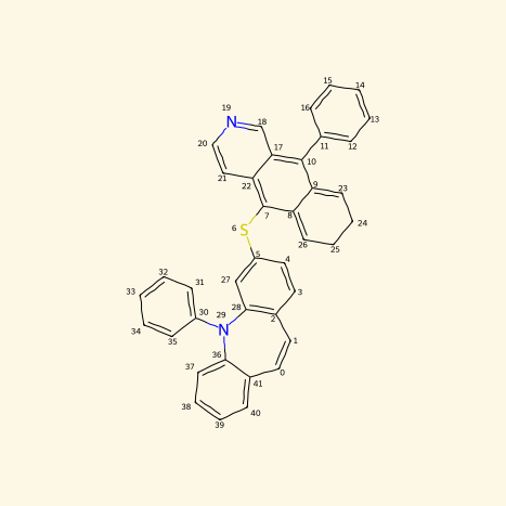 C1=Cc2ccc(Sc3c4c(c(-c5ccccc5)c5cnccc35)=CCCC=4)cc2N(c2ccccc2)c2ccccc21